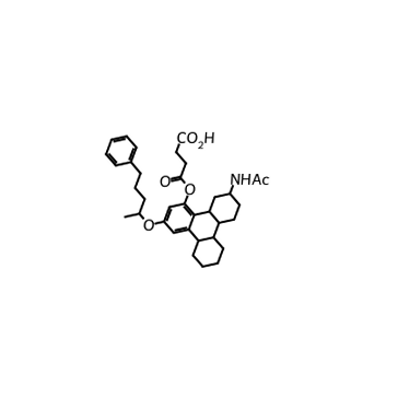 CC(=O)NC1CCC2C(C1)c1c(OC(=O)CCC(=O)O)cc(OC(C)CCCc3ccccc3)cc1C1CCCCC12